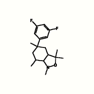 CC1CC(C)(c2cc(F)cc(F)c2)CC2C1N(C)OC2(C)C